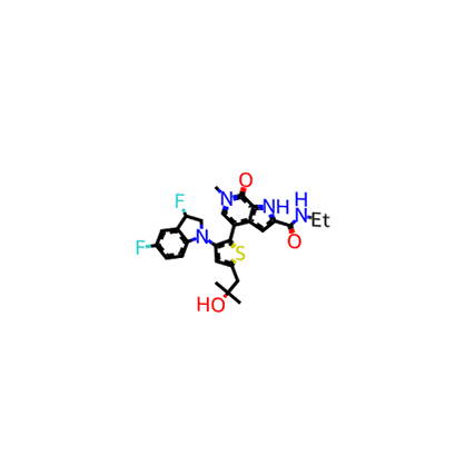 CCNC(=O)c1cc2c(-c3sc(CC(C)(C)O)cc3N3CC(F)c4cc(F)ccc43)cn(C)c(=O)c2[nH]1